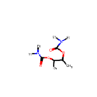 CCN(CC)C(=O)OC(C)C(OC(=O)N(CC)CC)C(C)C